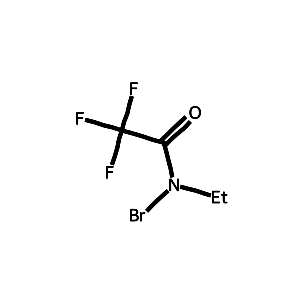 CCN(Br)C(=O)C(F)(F)F